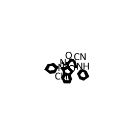 Cc1ccccc1-n1nc(C(=O)C(C#N)C(=O)Nc2ccccc2)c2c1-c1ccccc1C2